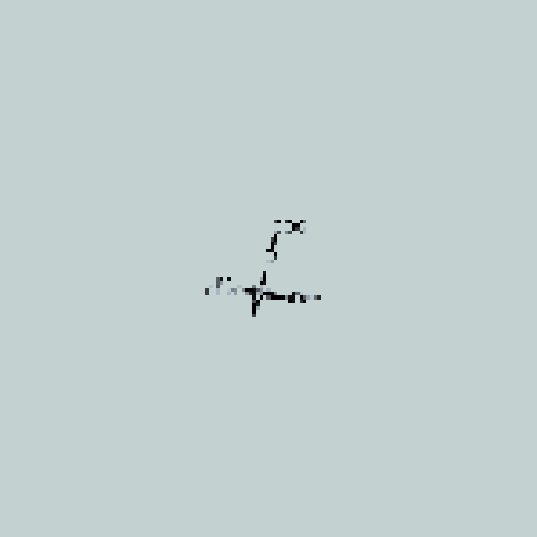 CCCCCCCCCC[N+](C)(C)CCCCCCCCCC.O=C([O-])[O-].[K+]